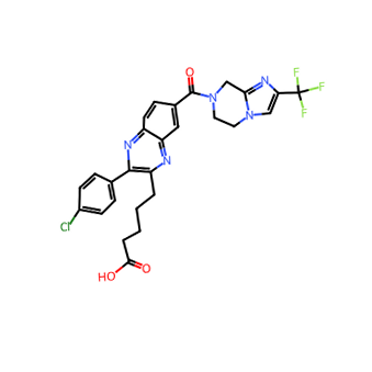 O=C(O)CCCCc1nc2cc(C(=O)N3CCn4cc(C(F)(F)F)nc4C3)ccc2nc1-c1ccc(Cl)cc1